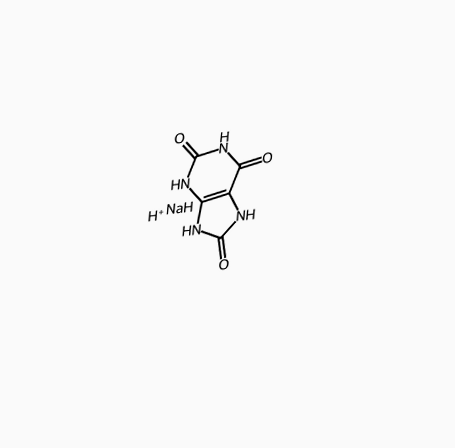 O=c1[nH]c(=O)c2[nH]c(=O)[nH]c2[nH]1.[H+].[NaH]